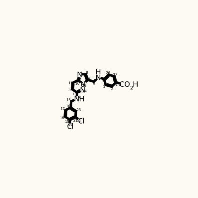 O=C(O)c1ccc(NCc2cnc3ccc(NCc4ccc(Cl)c(Cl)c4)nn23)cc1